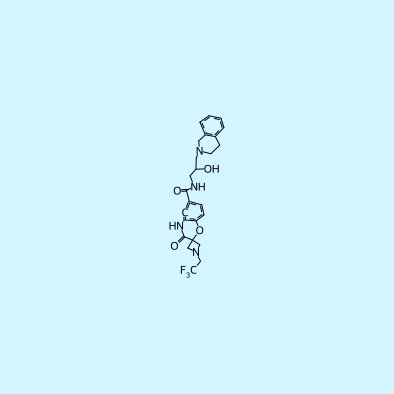 O=C(NCC(O)CN1CCc2ccccc2C1)c1ccc2c(c1)NC(=O)C1(CN(CC(F)(F)F)C1)O2